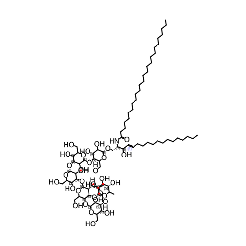 CCCCCCCCCCCCC/C=C/[C@@H](O)[C@H](CO[C@@H]1OC(CO)[C@@H](O[C@@H]2OC(CO)[C@H](O)[C@H](O[C@H]3OC(CO)[C@H](O)[C@H](O[C@@H]4OC(CO)[C@@H](O[C@@H]5OC(CO)[C@H](O)[C@H](O)C5O)[C@H](O[C@H]5OC(C)[C@@H](O)C(O)[C@@H]5O)C4NC(C)=O)C3O)C2O)[C@H](O)C1O)NC(=O)CCCCCCCCCCCCCCCCCCCCCCCCC